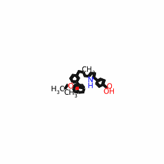 CC(C)COc1ccc(CC(C)Cc2ccc(-c3ccc(C(=O)O)cc3)[nH]2)cc1C12CC3CC(CC(C3)C1)C2